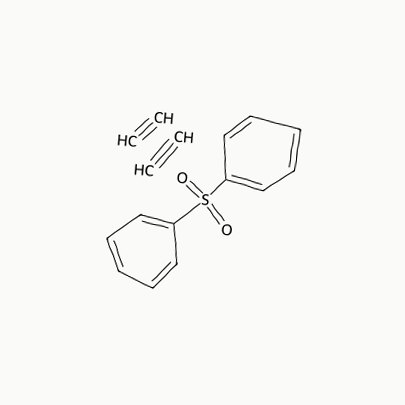 C#C.C#C.O=S(=O)(c1ccccc1)c1ccccc1